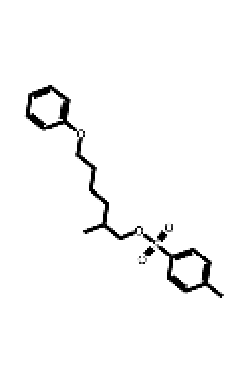 Cc1ccc(S(=O)(=O)OCC(C)CCCCOc2ccccc2)cc1